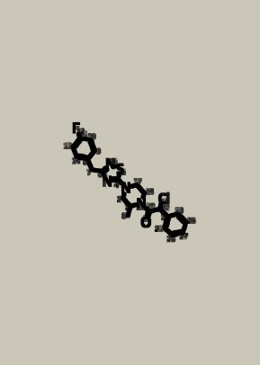 CC1CN(c2nc(Cc3ccc(F)cc3)ns2)CCN1C(=O)C(Cl)c1ccccc1